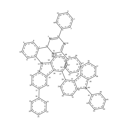 c1ccc(C2=NC(c3ccccc3-n3c4ccc(-c5ccccc5)cc4c4c(-c5cccc6c5c5ccccc5n6-c5ccccc5)cccc43)NC(c3ccccc3)=N2)cc1